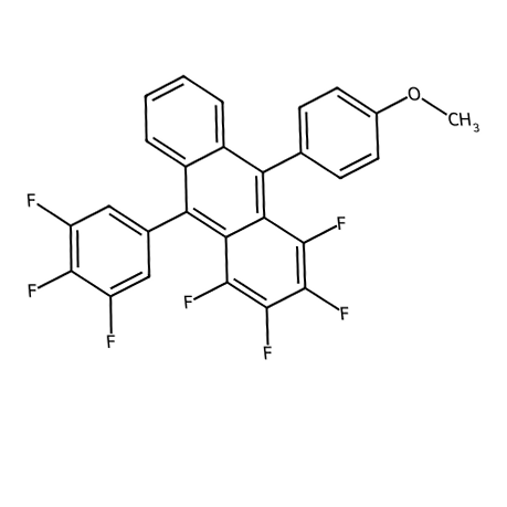 COc1ccc(-c2c3ccccc3c(-c3cc(F)c(F)c(F)c3)c3c(F)c(F)c(F)c(F)c23)cc1